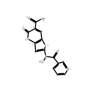 CN(C(=O)c1cccnc1)c1cc2oc(=O)c(C(=O)O)cc2s1